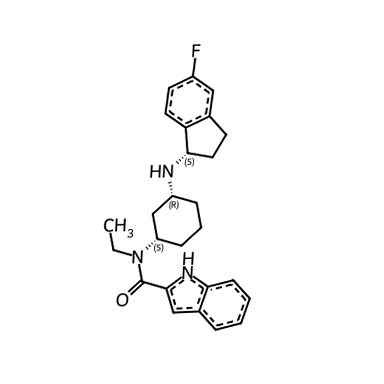 CCN(C(=O)c1cc2ccccc2[nH]1)[C@H]1CCC[C@@H](N[C@H]2CCc3cc(F)ccc32)C1